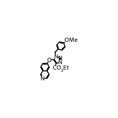 CCOC(=O)c1nnn(Cc2ccc(OC)cc2)c1Oc1ccc2cnccc2c1